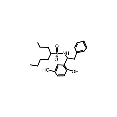 CCCCC(CCC)S(=O)(=O)NC(Cc1ccccc1)c1cc(O)ccc1O